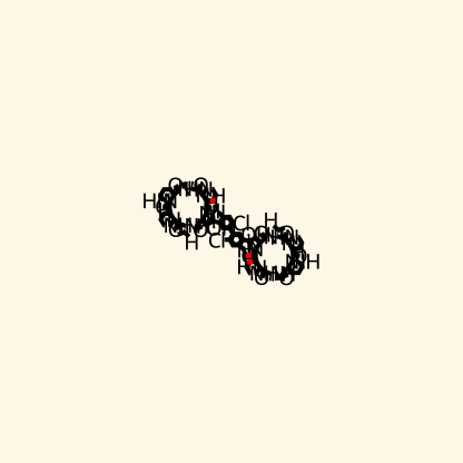 CC(C)[C@H]1NC(=O)C2C[C@@]3(O)c4cc(-c5cc6c(cc5Cl)N[C@H]5N7C(=O)[C@H]8CCCNN8C(=O)[C@H](C)N(C)C(=O)[C@@]8(C)CCCNN8C(=O)[C@@H]8CCCNN8C(=O)[C@@H](C(C)C)NC(=O)[C@@H]7C[C@@]65O)c(Cl)cc4N[C@H]3N2C(=O)[C@H]2CCCNN2C(=O)[C@H](C)N(C)C(=O)[C@H]2CCCNN2C(=O)[C@@H]2CCCNN2C1=O